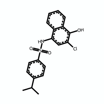 CC(C)c1ccc(S(=O)(=O)Nc2cc(Cl)c(O)c3ccccc23)cc1